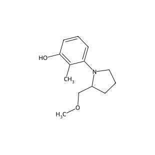 COCC1CCCN1c1cccc(O)c1C